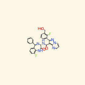 O=C(N[C@H]1N=C(c2ccccc2)c2cccc(F)c2NC1=O)c1c(-c2cccc(CO)c2F)nn2cccnc12